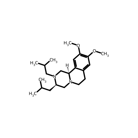 COc1cc2c(cc1OC)[C@@H]1CN(CC(C)C)[C@H](CC(C)C)CN1CC2